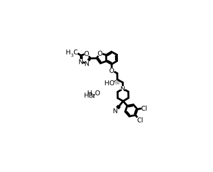 Br.Cc1nnc(-c2cc3c(OC[C@@H](O)CN4CCC(C#N)(c5ccc(Cl)c(Cl)c5)CC4)cccc3o2)o1.O